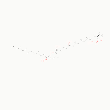 CCCCCCCCCCCC[C@H](O)[C@@H]1CC[C@@H]([C@@H](O)CCCC(O)CCCCCC[C@@H](O)CC2=C[C@H](C)OC2=O)O1